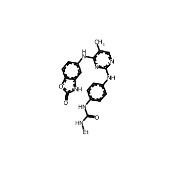 CCNC(=O)Nc1ccc(Nc2ncc(C)c(Nc3ccc4oc(=O)[nH]c4c3)n2)cc1